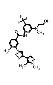 Cc1ccc(C(=O)Nc2cc(N(C)CCO)cc(C(F)(F)F)c2)cc1-n1cc(-c2cnn(C)c2C)nn1